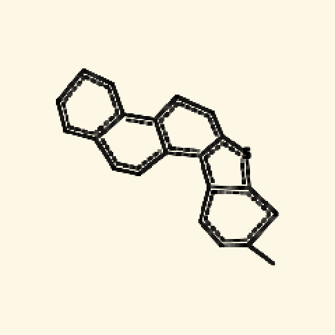 Cc1ccc2c(c1)sc1ccc3c4ccccc4ccc3c12